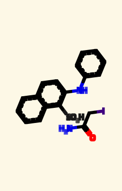 NC(=O)CI.O=S(=O)(O)c1c(Nc2ccccc2)ccc2ccccc12